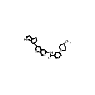 CN1CCN(c2cc(C(=O)Nc3cc4cc(-c5cnc6cc[nH]c6c5)cnc4cn3)ccn2)CC1